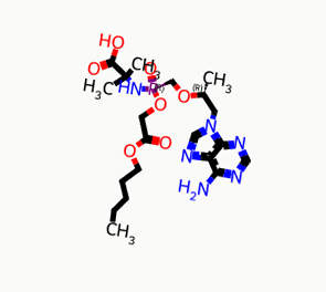 CCCCCOC(=O)CO[P@](=O)(CO[C@H](C)Cn1cnc2c(N)ncnc21)NC(C)(C)C(=O)O